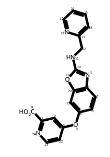 O=C(O)c1cc(Oc2ccc3nc(NCc4ccccn4)oc3c2)ccn1